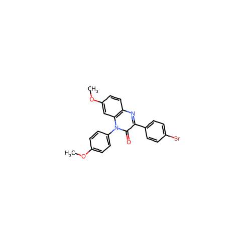 COc1ccc(-n2c(=O)c(-c3ccc(Br)cc3)nc3ccc(OC)cc32)cc1